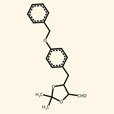 CC1(C)OC(C=O)C(Cc2ccc(OCc3ccccc3)cc2)O1